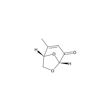 CC1=CC(=O)[C@@H]2OC[C@H]1O2